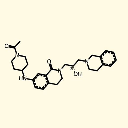 CC(=O)N1CCC(Nc2ccc3c(c2)C(=O)N(C[C@@H](O)CN2CCc4ccccc4C2)CC3)CC1